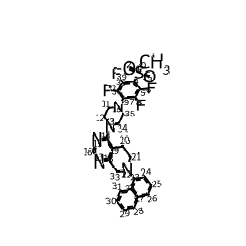 CS(=O)(=O)c1c(F)c(F)c(N2CCN(c3ncnc4c3CCN(c3cccc5ccccc35)C4)CC2)c(F)c1F